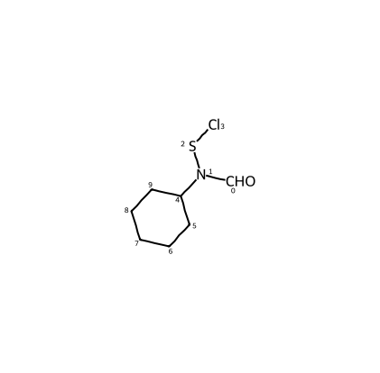 O=CN(SCl)C1CCCCC1